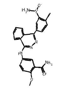 COc1ccc(Nc2nnc(-c3ccc(C)c([S+](N)[O-])c3)c3ccccc23)cc1C(N)=O